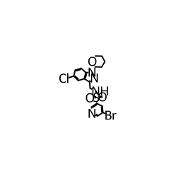 O=S(=O)(NCc1nn(C2CCCCO2)c2ccc(Cl)cc12)c1cncc(Br)c1